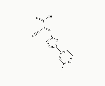 Cc1cc(-c2ccc(/C=C(\C#N)C(=O)O)s2)ccn1